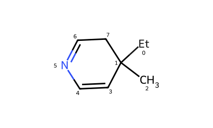 CCC1(C)C=CN=CC1